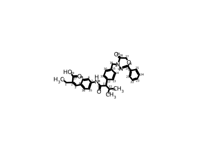 CCC(=Cc1ccc(NC(=O)C(c2ccc(CN3N=C(c4ccccc4)OCC3=O)cc2)C(C)C)cc1)C(=O)O